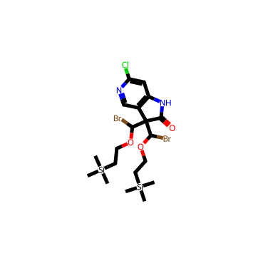 C[Si](C)(C)CCOC(Br)C1(C(Br)OCC[Si](C)(C)C)C(=O)Nc2cc(Cl)ncc21